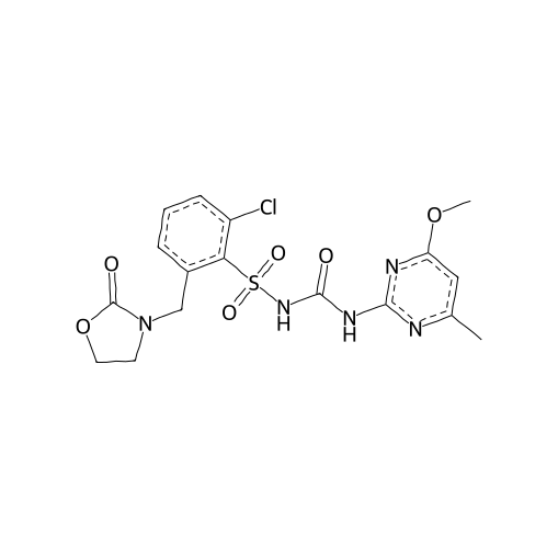 COc1cc(C)nc(NC(=O)NS(=O)(=O)c2c(Cl)cccc2CN2CCOC2=O)n1